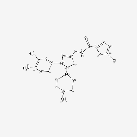 Cc1cc(N2C=C(CNC(=O)c3ccc(Cl)s3)CN2N2CCN(C)CC2)ccc1N